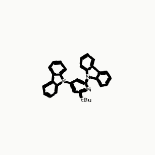 CC(C)(C)c1cc(-n2c3ccccc3c3ccccc32)cc(-n2c3ccccc3c3ccccc32)n1